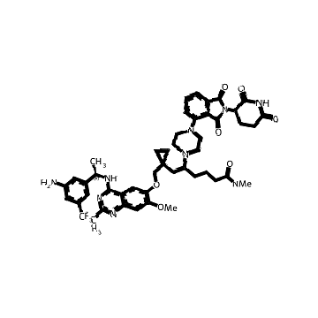 CNC(=O)CCCC(CC1(COc2cc3c(N[C@H](C)c4cc(N)cc(C(F)(F)F)c4)nc(C)nc3cc2OC)CC1)N1CCN(c2cccc3c2C(=O)N(C2CCC(=O)NC2=O)C3=O)CC1